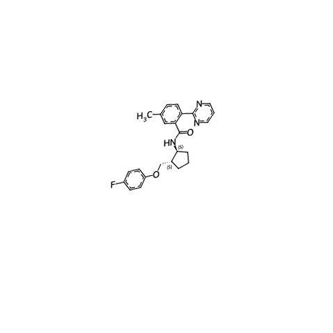 Cc1ccc(-c2ncccn2)c(C(=O)N[C@H]2CCC[C@@H]2COc2ccc(F)cc2)c1